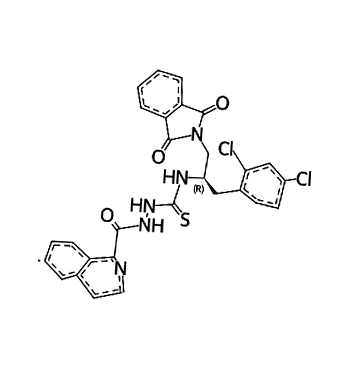 O=C(NNC(=S)N[C@H](Cc1ccc(Cl)cc1Cl)CN1C(=O)c2ccccc2C1=O)c1nccc2c[c]ccc12